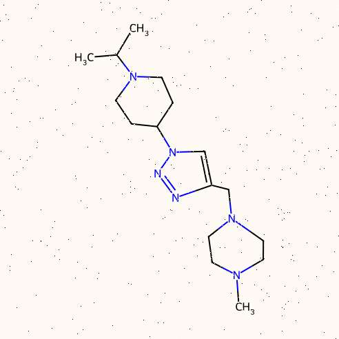 CC(C)N1CCC(n2cc(CN3CCN(C)CC3)nn2)CC1